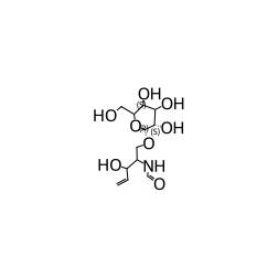 C=CC(O)C(CO[C@@H]1OC(CO)[C@@H](O)C(O)[C@@H]1O)NC=O